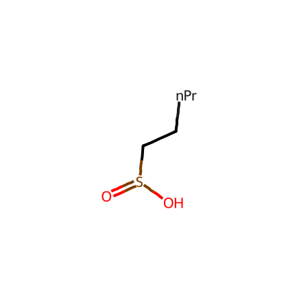 CCCCCS(=O)O